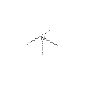 CCCCCCCCC(CCCCC)N(CCCCCCCC)CCCCCCCC